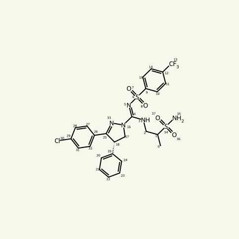 CC(CN/C(=N\S(=O)(=O)c1ccc(C(F)(F)F)cc1)N1C[C@H](c2ccccc2)C(c2ccc(Cl)cc2)=N1)S(N)(=O)=O